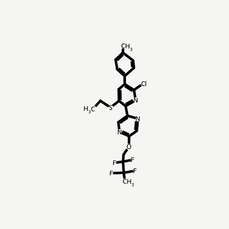 CCSc1cc(-c2ccc(C)cc2)c(Cl)nc1-c1cnc(OCC(F)(F)C(C)(F)F)cn1